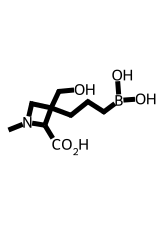 CN1CC(CO)(CCCB(O)O)C1C(=O)O